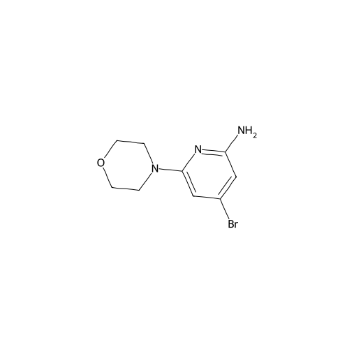 Nc1cc(Br)cc(N2CCOCC2)n1